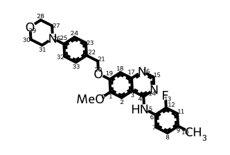 COc1cc2c(Nc3ccc(C)cc3F)ncnc2cc1OCc1ccc(N2CCOCC2)cc1